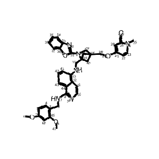 COc1ccc(CNc2nccc3c(NCC45CC(COc6ccn(C)c(=O)c6)(CN4c4nc6ccccc6o4)C5)cccc23)c(OC)c1